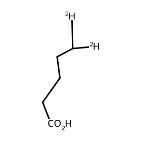 [2H]C([2H])CCCC(=O)O